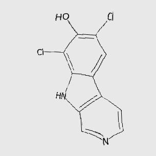 Oc1c(Cl)cc2c([nH]c3cnccc32)c1Cl